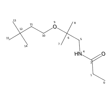 CCC(=O)NCC(C)(C)OCCC(C)(C)C